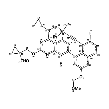 COCOc1cc(-c2ncc3c(N(C)C4CC4)nc(OCC4(C=O)CC4)nc3c2F)c2c(C#C[Si](C(C)C)(C(C)C)C(C)C)c(F)ccc2c1